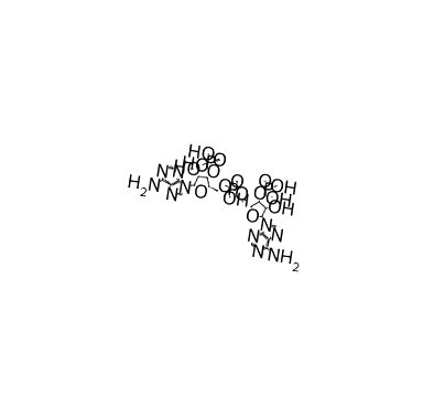 Nc1ncnc2c1ncn2[C@@H]1O[C@H](COP(=O)(O)OC[C@H]2O[C@@H](n3cnc4c(N)ncnc43)[C@H](O)[C@@H]2OP(=O)(O)O)[C@H](OP(=O)(O)O)[C@H]1O